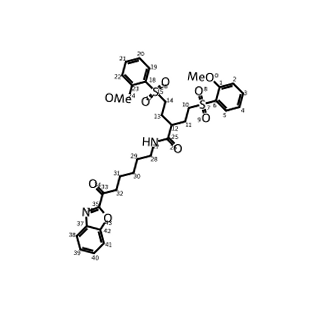 COc1ccccc1S(=O)(=O)CCC(CCS(=O)(=O)c1ccccc1OC)C(=O)NCCCCCC(=O)c1nc2ccccc2o1